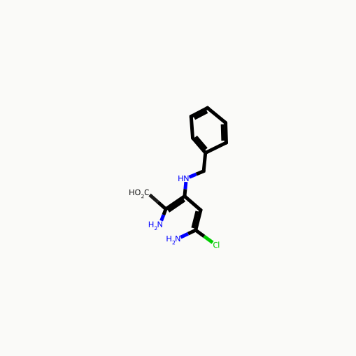 N/C(Cl)=C\C(NCc1ccccc1)=C(/N)C(=O)O